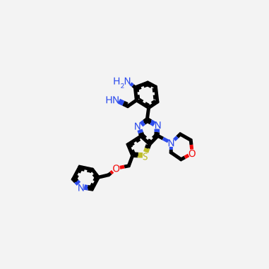 N=Cc1c(N)cccc1-c1nc(N2CCOCC2)c2sc(COCc3cccnc3)cc2n1